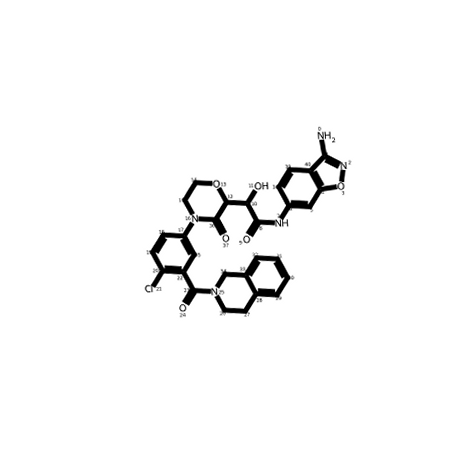 Nc1noc2cc(NC(=O)C(O)C3OCCN(c4ccc(Cl)c(C(=O)N5CCc6ccccc6C5)c4)C3=O)ccc12